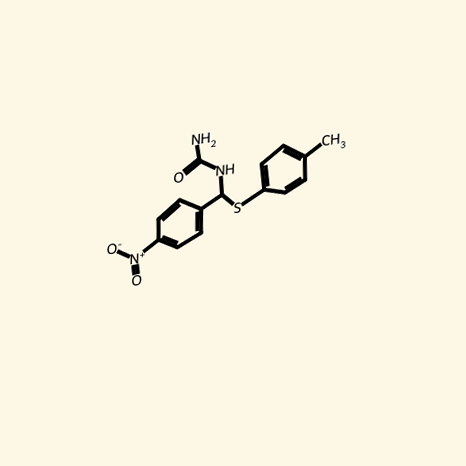 Cc1ccc(SC(NC(N)=O)c2ccc([N+](=O)[O-])cc2)cc1